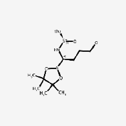 CC(C)(C)[S@@+]([O-])N[C@@H](CCCCl)B1OC(C)(C)C(C)(C)O1